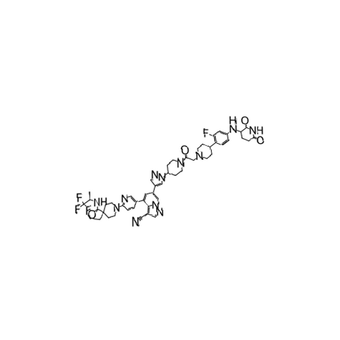 CCC1(C(=O)N[C@H](C)C(F)(F)F)CCN(c2ccc(-c3cc(-c4cnn(C5CCN(C(=O)CN6CCC(c7ccc(NC8CCC(=O)NC8=O)cc7F)CC6)CC5)c4)cn4ncc(C#N)c34)cn2)CC1